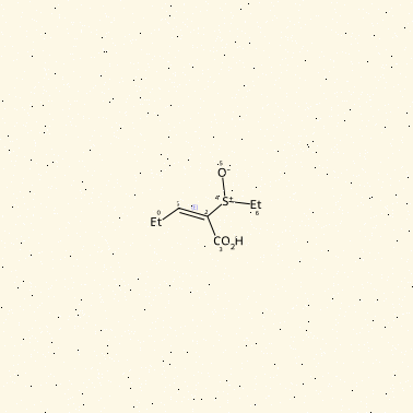 CC/C=C(\C(=O)O)[S+]([O-])CC